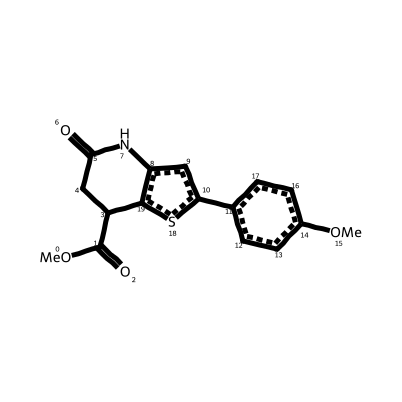 COC(=O)C1CC(=O)Nc2cc(-c3ccc(OC)cc3)sc21